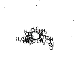 C=C[C@]12OC(=O)N(CCCCn3cnc(-c4ccc(Cl)nc4)c3C)[C@@H]1[C@@H](C)C(=O)[C@H](C)C[C@](C)(OC)[C@H](OC1O[C@H](C)C[C@H](N(C)C)[C@H]1O)[C@@H](C)C(=O)[C@@H](C)C(=O)O[C@@H]2CC